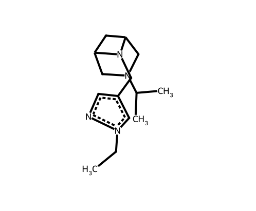 CCn1cc(CN2C3CC2CN(C(C)C)C3)cn1